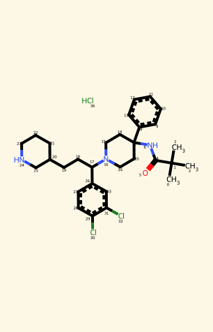 CC(C)(C)C(=O)NC1(c2ccccc2)CCN(C(CCC2CCCNC2)c2ccc(Cl)c(Cl)c2)CC1.Cl